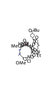 CCC(C)C(=O)C1CCC(CN2C(=O)CC(SCCC(=O)N(C)[C@@H](CC)C(=O)O[C@H]3CC(=O)N(C)c4cc(cc(OC)c4Cl)C/C(C)=C/C=C/[C@@H](OC)[C@@]4(O)C[C@H](OC(=O)N4)[C@@H](C)[C@@H]4O[C@@]34C)C2=O)CC1